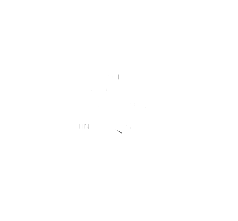 CC[C@H]1CNCC[C@]1(C(=O)OC(C)(C)C)C(C)C(O)=S